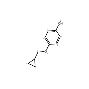 Oc1ccc(OCC2CC2)cc1